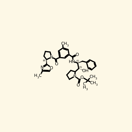 Cc1cc(C(=O)N[C@@H](Cc2ccccc2)[C@H](O)C2CCCN2C(=O)OC(C)(C)C)cc(C(=O)N2CCC[C@@H]2c2nc(C)co2)c1